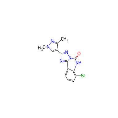 Cc1nn(C)cc1-c1nc2c3cccc(Br)c3[nH]c(=O)n2n1